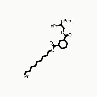 CCCCCC(CCC)COC(=O)C1CCCC(C(=O)OCCCCCCCCCC(C)C)C1